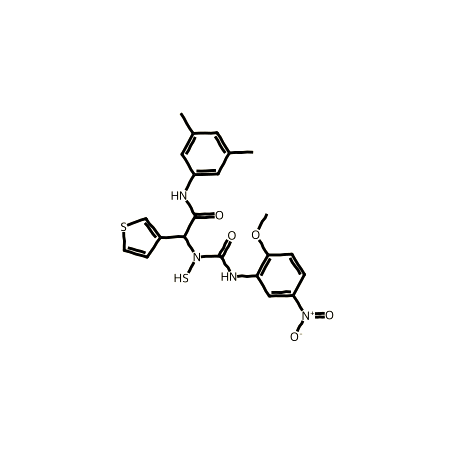 COc1ccc([N+](=O)[O-])cc1NC(=O)N(S)C(C(=O)Nc1cc(C)cc(C)c1)c1ccsc1